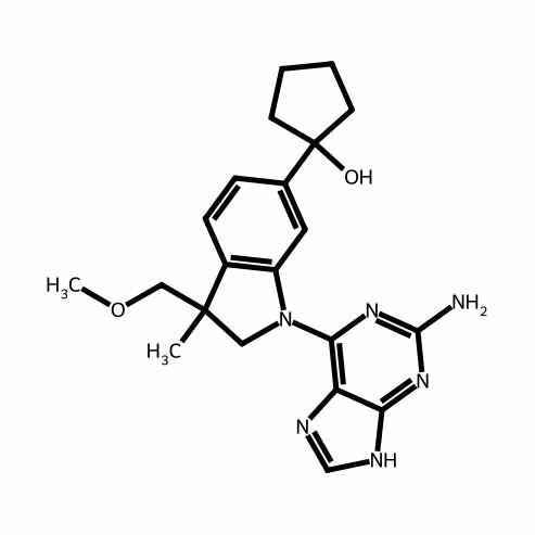 COCC1(C)CN(c2nc(N)nc3[nH]cnc23)c2cc(C3(O)CCCC3)ccc21